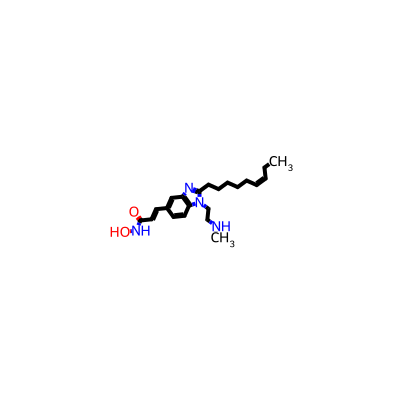 CC/C=C\CCCCCc1nc2cc(/C=C/C(=O)NO)ccc2n1CCNC